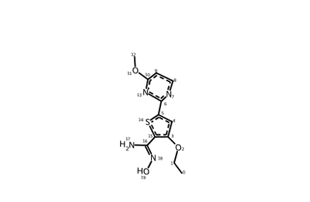 CCOc1cc(-c2nccc(OC)n2)sc1C(N)=NO